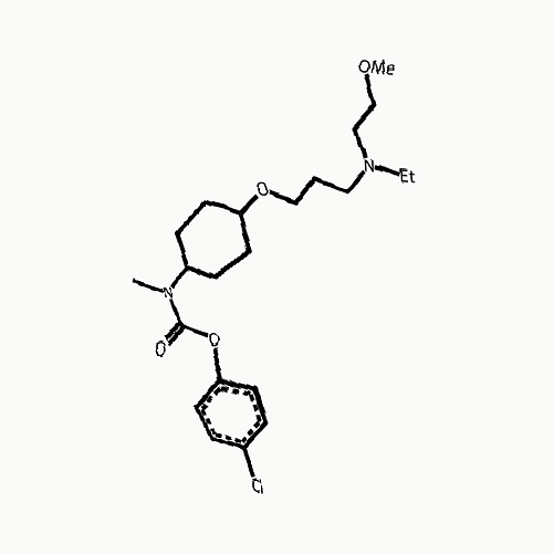 CCN(CCCOC1CCC(N(C)C(=O)Oc2ccc(Cl)cc2)CC1)CCOC